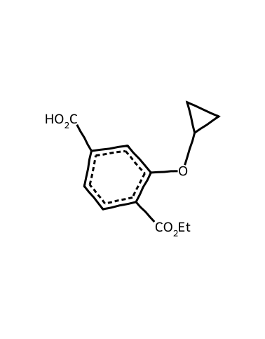 CCOC(=O)c1ccc(C(=O)O)cc1OC1CC1